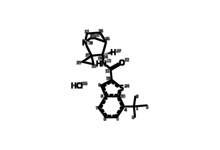 CC(C)(C)c1cccc2cc(C(=O)N[C@@H]3C4CCN(CC4)C34CC4)sc12.Cl